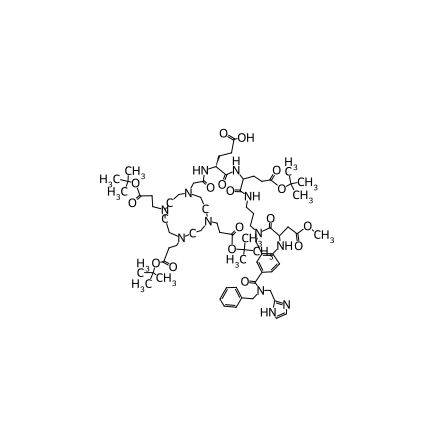 COC(=O)CC1Nc2ccc(C(=O)N(Cc3ccccc3)Cc3ncc[nH]3)cc2CN(CCCNC(=O)C(CCC(=O)OC(C)(C)C)NC(=O)[C@H](CCC(=O)O)NC(=O)CN2CCN(CCC(=O)OC(C)(C)C)CCN(CCC(=O)OC(C)(C)C)CCN(CCC(=O)OC(C)(C)C)CC2)C1=O